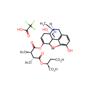 CC(=O)O[C@@H](C(=O)OC1=CC[C@@]2(O)[C@H]3Cc4ccc(O)c5c4[C@@]2(CCN3C)[C@H]1O5)[C@@H](OC(C)=O)C(=O)O[C@@H](CC(=O)O)C(=O)O.O=C(O)C(F)(F)F